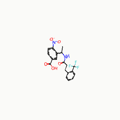 CC(NC(=O)CCc1ccccc1C(F)(F)F)c1cc(C(=O)O)ccc1[N+](=O)[O-]